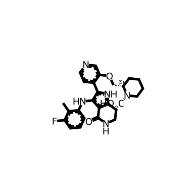 Cc1c(F)cccc1Nc1c(-c2ccncc2OC[C@@H]2CCCCN2C(=O)O)[nH]c2c1C(=O)NCC2